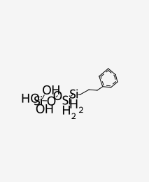 O[Si](O)(O)OO[SiH2][SiH2]CCCc1ccccc1